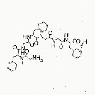 NCC(=O)N[C@@H](Cc1ccccc1)C(=O)NCC(=O)N[C@@H](Cc1ccccc1)C(=O)NCC(=O)NCC(=O)N[C@@H](Cc1ccccc1)C(=O)O